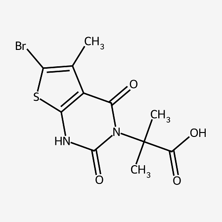 Cc1c(Br)sc2[nH]c(=O)n(C(C)(C)C(=O)O)c(=O)c12